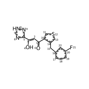 O=C(C=C(O)c1nc[nH]n1)c1cscc1Cc1cccc(F)c1